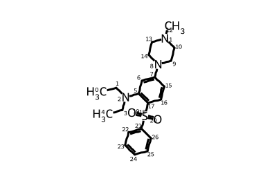 CCN(CC)c1cc(N2CCN(C)CC2)ccc1S(=O)(=O)c1ccccc1